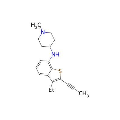 CC#Cc1sc2c(NC3CCN(C)CC3)cccc2c1CC